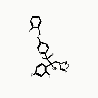 OC(Cn1cnnn1)(c1ccc(F)cc1F)C(F)(F)c1ccc(OCc2ccccc2F)cn1